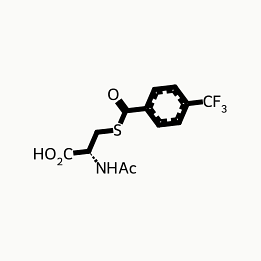 CC(=O)N[C@@H](CSC(=O)c1ccc(C(F)(F)F)cc1)C(=O)O